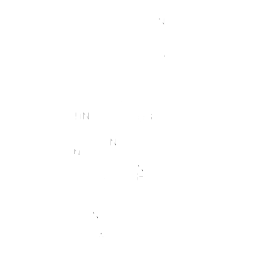 CC(=O)N1CCc2nc(Nc3ccc(-c4cnco4)cc3)nc(NC3(CO)CCCC3)c2C1